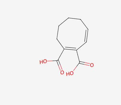 O=C(O)C1=C(\C(=O)O)CCCC/C=C\1